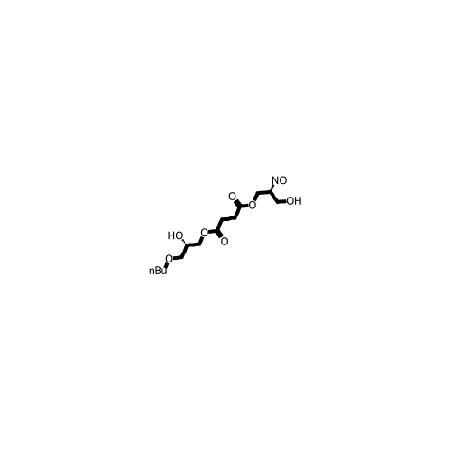 CCCCOC[C@H](O)COC(=O)CCC(=O)OC[C@H](CO)N=O